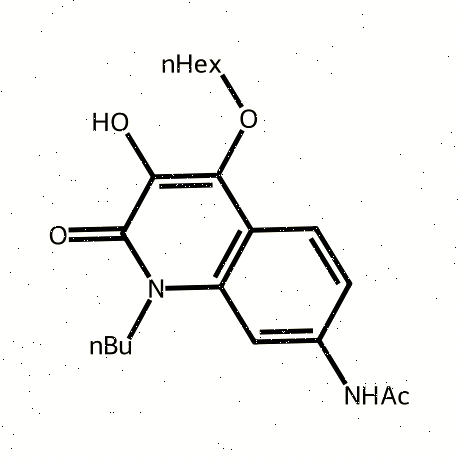 CCCCCCOc1c(O)c(=O)n(CCCC)c2cc(NC(C)=O)ccc12